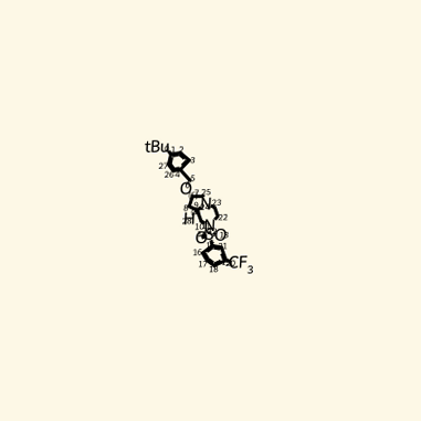 CC(C)(C)c1ccc(CO[C@H]2C[C@H]3CN(S(=O)(=O)c4cccc(C(F)(F)F)c4)CCN3C2)cc1